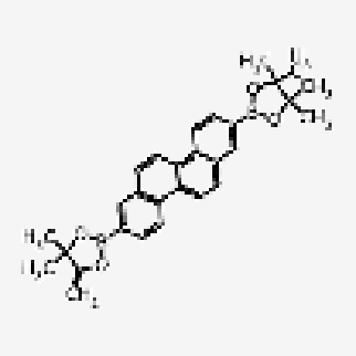 C=C1OB(c2ccc3c(ccc4c5ccc(B6OC(C)(C)C(C)(C)O6)cc5ccc34)c2)OC1(C)C